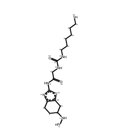 CCCNC1CCc2nc(NC(=O)CNC(=O)NCCCCCCS)sc2C1